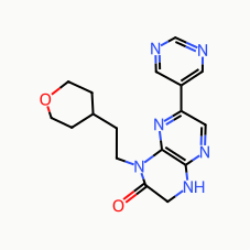 O=C1CNc2ncc(-c3cncnc3)nc2N1CCC1CCOCC1